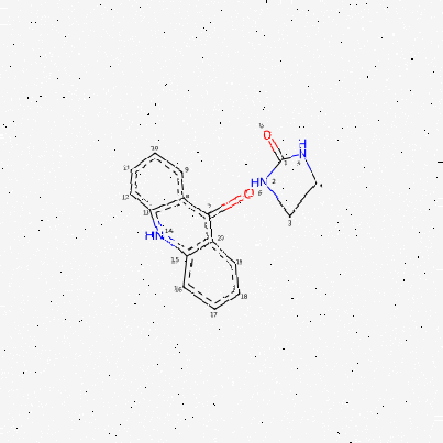 O=C1NCCN1.O=c1c2ccccc2[nH]c2ccccc12